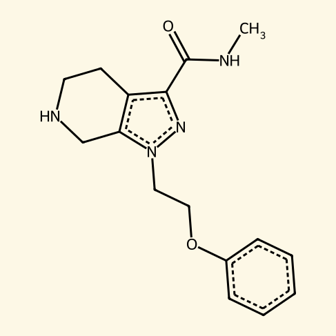 CNC(=O)c1nn(CCOc2ccccc2)c2c1CCNC2